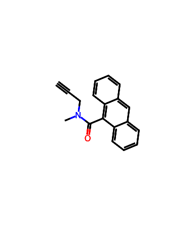 C#CCN(C)C(=O)c1c2ccccc2cc2ccccc12